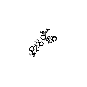 Cc1ccccc1S(=O)(=O)C[C@@H]1C[C@H](NCC(C)C)CC[C@@H]1N1CC[C@H](NC(=O)c2cccc(C(F)(F)F)c2)C1=O